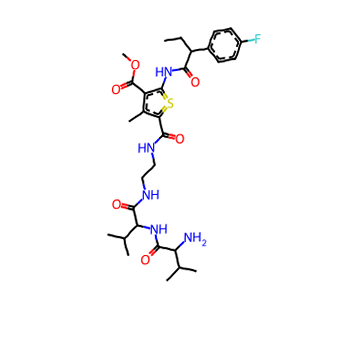 CCC(C(=O)Nc1sc(C(=O)NCCNC(=O)C(NC(=O)C(N)C(C)C)C(C)C)c(C)c1C(=O)OC)c1ccc(F)cc1